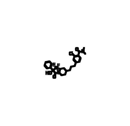 CN(C)C(=O)c1ccc(CCCC2CCN(C(=O)C(O)(c3ccccc3)C(F)(F)F)CC2)cc1Cl